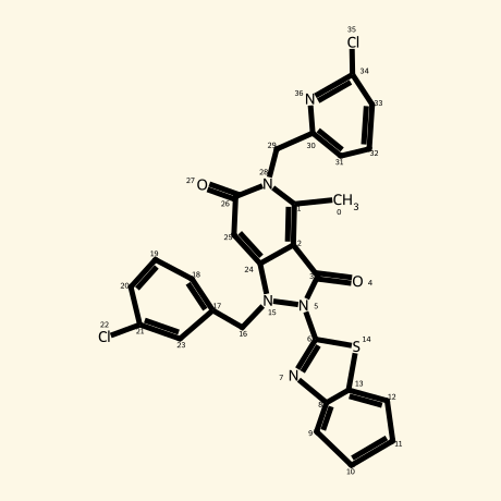 Cc1c2c(=O)n(-c3nc4ccccc4s3)n(Cc3cccc(Cl)c3)c2cc(=O)n1Cc1cccc(Cl)n1